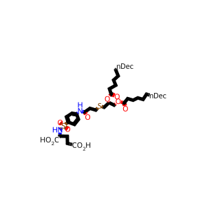 CCCCCCCCCCCCCCCC(=O)OCC(CSCCC(=O)Nc1ccc(S(=O)(=O)NC(CCC(=O)O)C(=O)O)cc1)OC(=O)CCCCCCCCCCCCCCC